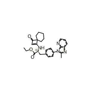 CCOC(=O)[C@H](Cc1ccc(-n2c(C)nc3cccnc32)cc1)NC1=CC(=O)C12CCCCC2